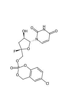 O=c1ccn([C@@H]2O[C@](F)(COP3(=O)OCc4cc(Cl)ccc4O3)C[C@H]2O)c(=O)[nH]1